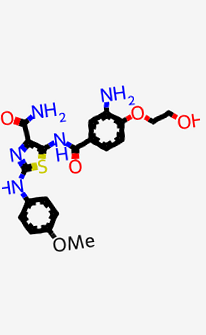 COc1ccc(Nc2nc(C(N)=O)c(NC(=O)c3ccc(OCCO)c(N)c3)s2)cc1